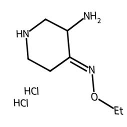 CCON=C1CCNCC1N.Cl.Cl